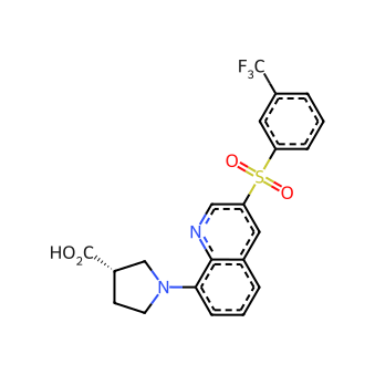 O=C(O)[C@H]1CCN(c2cccc3cc(S(=O)(=O)c4cccc(C(F)(F)F)c4)cnc23)C1